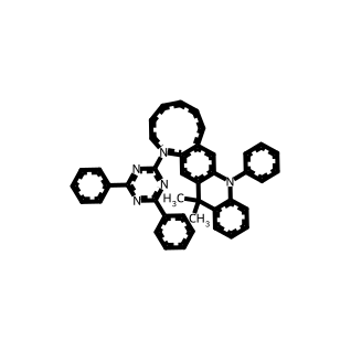 CC1(C)c2ccccc2N(c2ccccc2)c2cc3ccccccn(-c4nc(-c5ccccc5)nc(-c5ccccc5)n4)c3cc21